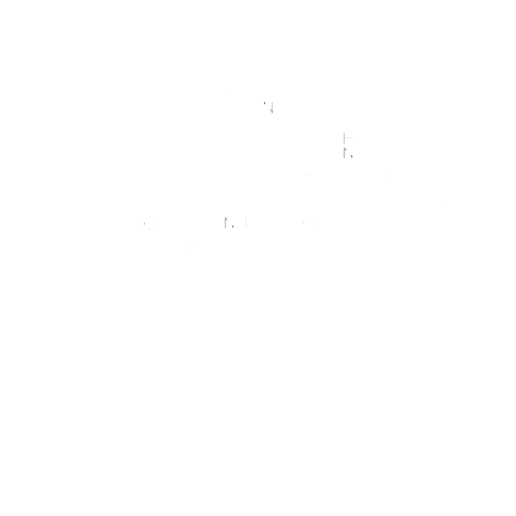 Cc1cccc2c(C(=O)Nc3cccnc3C(=O)NC3CCC3)cccc12